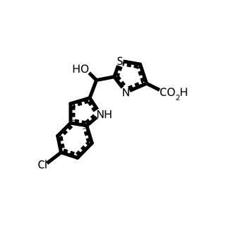 O=C(O)c1csc(C(O)c2cc3cc(Cl)ccc3[nH]2)n1